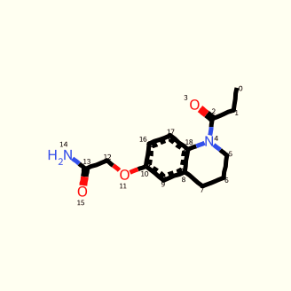 CCC(=O)N1CCCc2cc(OCC(N)=O)ccc21